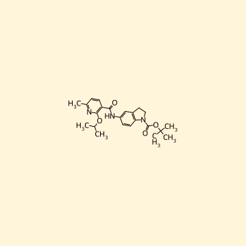 Cc1ccc(C(=O)Nc2ccc3c(c2)CCN3C(=O)OC(C)(C)C)c(OC(C)C)n1